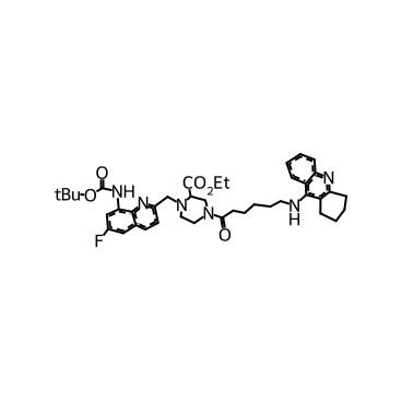 CCOC(=O)C1CN(C(=O)CCCCCNc2c3c(nc4ccccc24)CCCC3)CCN1Cc1ccc2cc(F)cc(NC(=O)OC(C)(C)C)c2n1